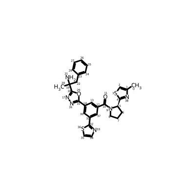 Cc1csc([C@H]2CCCN2C(=O)c2cc(-c3nnc(C(C)(N)Cc4ccccc4)o3)cc(-c3nccs3)c2)n1